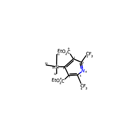 CCOC(=O)c1c(C(F)(F)F)nc(C(F)(F)F)c(C(=O)OCC)c1[Si](C)(C)C